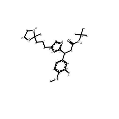 COc1ccc(C(CC(=O)OC(C)(C)C)c2nc(CCCC3(C)OCCO3)co2)cc1F